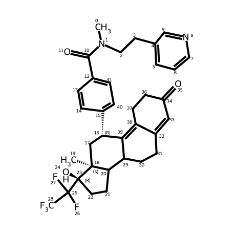 CN(CCc1cccnc1)C(=O)c1ccc([C@H]2C[C@@]3(C)C(CC[C@]3(O)C(F)(F)C(F)(F)F)C3CCC4=CC(=O)CCC4=C32)cc1